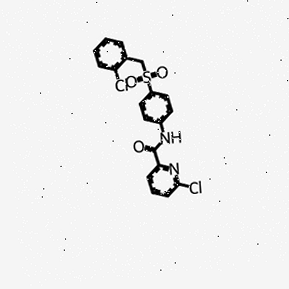 O=C(Nc1ccc(S(=O)(=O)Cc2ccccc2Cl)cc1)c1cccc(Cl)n1